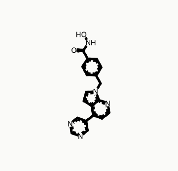 O=C(NO)c1ccc(Cn2ccc3c(-c4cncnc4)ccnc32)cc1